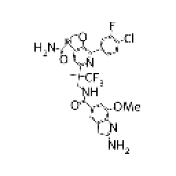 COc1cc(C(=O)NCC(C)(c2cc3c(c(-c4ccc(Cl)c(F)c4)n2)OC[C@]3(C)C(N)=O)C(F)(F)F)cc2c1N=C(N)C2